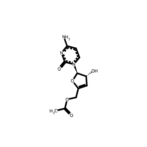 CC(=O)OCC1=C[C@@H](O)[C@H](n2ccc(N)nc2=O)O1